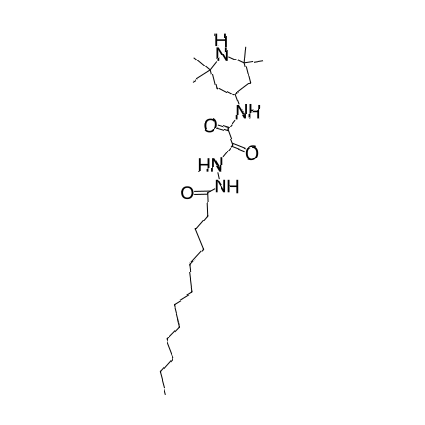 CCCCCCCCCCCC(=O)NNC(=O)C(=O)NC1CC(C)(C)NC(C)(C)C1